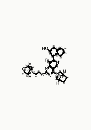 Oc1cc(-c2ncc3c(N4C[C@H]5CC[C@@H](C4)N5)nc(OCCN4C[C@@H]5C[C@H]4CO5)nc3c2F)c2ccccc2c1